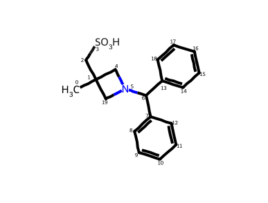 CC1(CS(=O)(=O)O)CN(C(c2ccccc2)c2ccccc2)C1